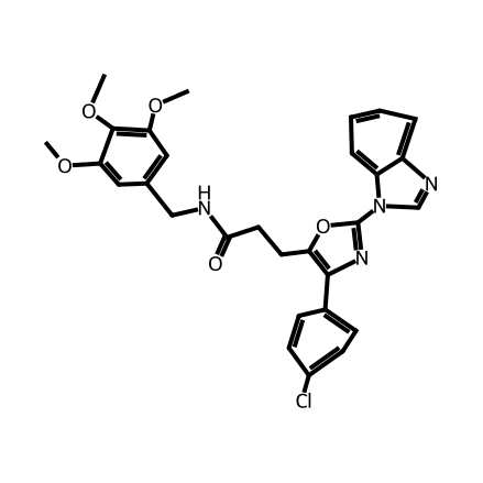 COc1cc(CNC(=O)CCc2oc(-n3cnc4ccccc43)nc2-c2ccc(Cl)cc2)cc(OC)c1OC